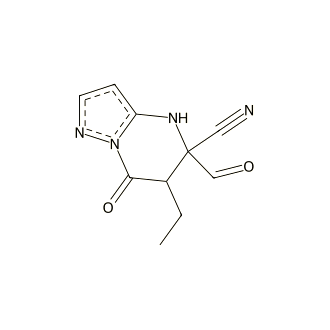 CCC1C(=O)n2nccc2NC1(C#N)C=O